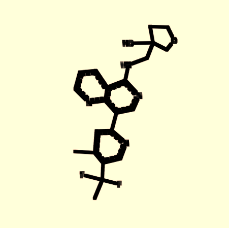 Cc1cc(-c2cnc(NCC3(O)CCOC3)c3cccnc23)ncc1C(C)(F)F